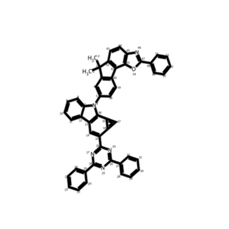 CC1(C)c2cc(-n3c4ccccc4c4cc(-c5nc(-c6ccccc6)nc(-c6ccccc6)n5)c5c(c43)=C=5)ccc2-c2c1ccc1nc(-c3ccccc3)oc21